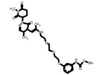 C/C(=C\C1C(=O)N(C2CCC(=O)N(C)C2=O)N=CC1C)NCCOCCOCCOc1cccc(NC(=O)OC(C)(C)C)c1